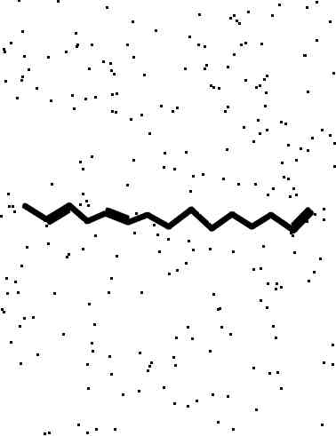 C=CCCCCCCCC=CCC=CC